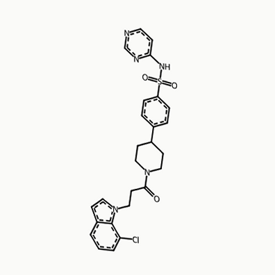 O=C(CCn1ccc2cccc(Cl)c21)N1CCC(c2ccc(S(=O)(=O)Nc3ccncn3)cc2)CC1